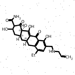 C=CCNCc1cc(CC)c2c(c1O)C(=O)C1=C(O)[C@]3(O)C(=O)C(C(N)=O)C(O)C[C@@H]3C[C@@H]1C2